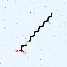 CCC[C@@H](F)CCCCCCCCSCCC(=O)O